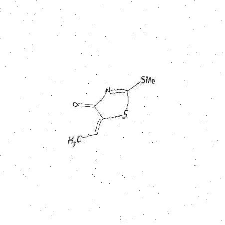 CC=C1SC(SC)=NC1=O